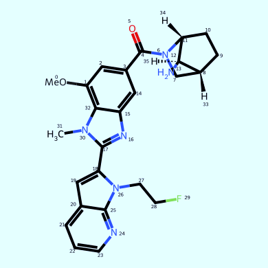 COc1cc(C(=O)N2C[C@H]3CC[C@@H]2[C@@H]3N)cc2nc(-c3cc4cccnc4n3CCF)n(C)c12